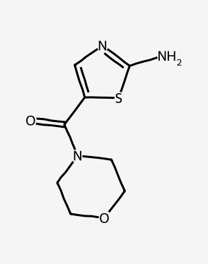 Nc1ncc(C(=O)N2CCOCC2)s1